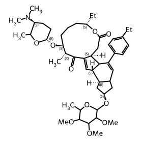 CCc1ccc(C2=CC3C[C@@H](OC4OC(C)C(OC)C(OC)C4OC)C[C@H]3[C@@H]3C=C4C(=O)[C@H](C)[C@@H](O[C@H]5CC[C@H](N(C)C)C(C)O5)CCC[C@H](CC)OC(=O)C[C@H]4C23)cc1